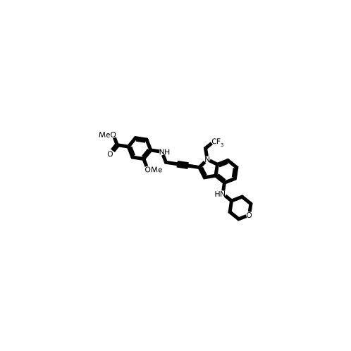 COC(=O)c1ccc(NCC#Cc2cc3c(NC4CCOCC4)cccc3n2CC(F)(F)F)c(OC)c1